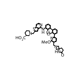 COc1nc(-c2cccc(-c3cccc(Nc4nccc5sc(CN6CCC[C@H](C(=O)O)C6)cc45)c3Cl)c2Cl)ccc1CN1CC2(CCC(=O)N2)C1